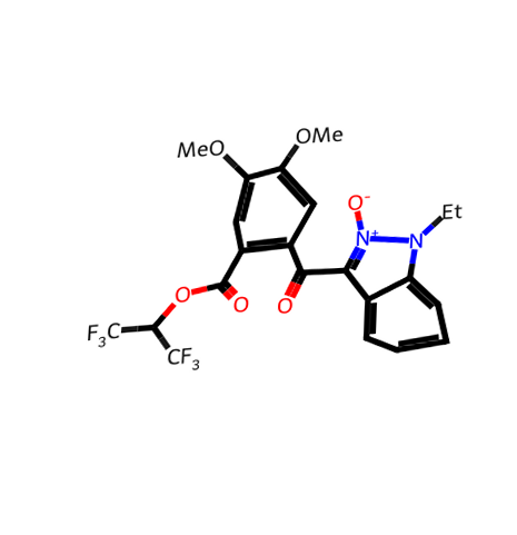 CCn1c2ccccc2c(C(=O)c2cc(OC)c(OC)cc2C(=O)OC(C(F)(F)F)C(F)(F)F)[n+]1[O-]